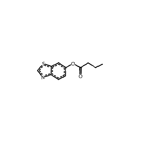 CCCC(=O)Oc1ccc2ncsc2c1